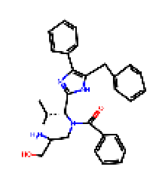 CC(C)[C@H](c1nc(-c2ccccc2)c(Cc2ccccc2)[nH]1)N(CC(N)CO)C(=O)c1ccccc1